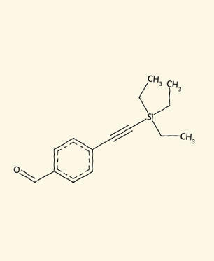 CC[Si](C#Cc1ccc(C=O)cc1)(CC)CC